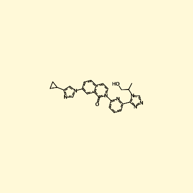 CC(CO)n1cnnc1-c1cccc(-n2ccc3ccc(-n4cnc(C5CC5)c4)cc3c2=O)n1